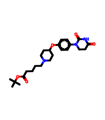 CC(C)(C)OC(=O)CCCCN1CCC(Oc2ccc(N3CCC(=O)NC3=O)cc2)CC1